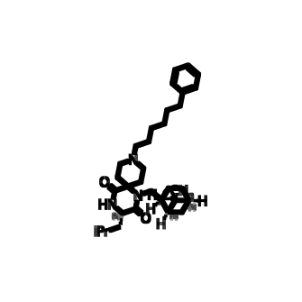 CC(C)C[C@@H]1NC(=O)C2(CCN(CCCCCCc3ccccc3)CC2)N(C[C@H]2CC[C@H]3C[C@@H]2C3(C)C)C1=O